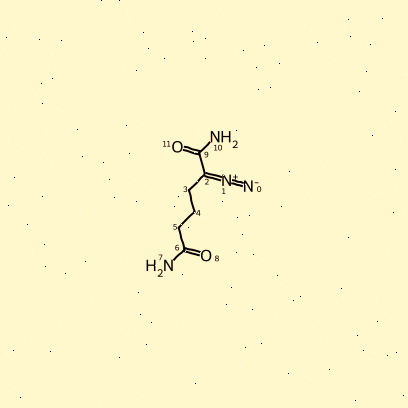 [N-]=[N+]=C(CCCC(N)=O)C(N)=O